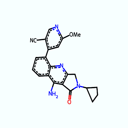 COc1cc(-c2cccc3c(N)c4c(nc23)CN(C2CCC2)C4=O)c(C#N)cn1